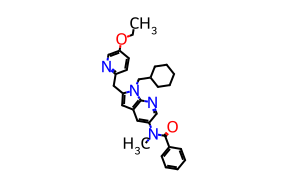 CCOc1ccc(Cc2cc3cc(N(C)C(=O)c4ccccc4)cnc3n2CC2CCCCC2)nc1